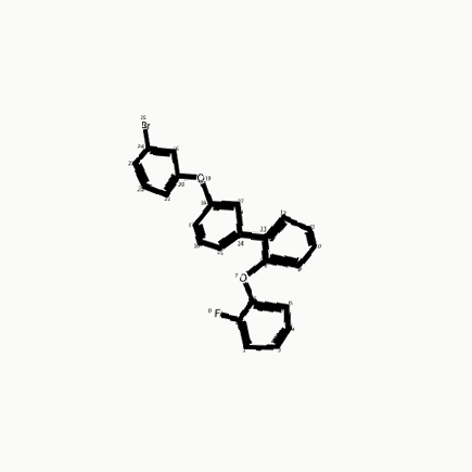 Fc1ccccc1Oc1c[c]ccc1-c1cccc(Oc2cccc(Br)c2)c1